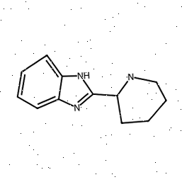 c1ccc2[nH]c(C3CCCC[N]3)nc2c1